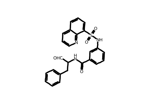 O=CC(Cc1ccccc1)NC(=O)c1cccc(NS(=O)(=O)c2cccc3cccnc23)c1